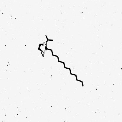 CCCCCCCCCCCCc1n(C(C)C)cc[n+]1C